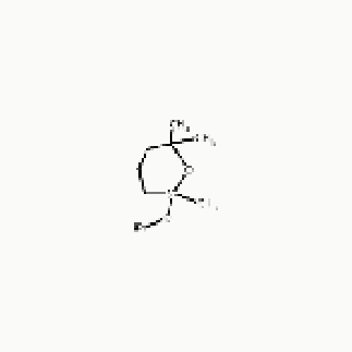 CC(C)O[Si]1(C)CCCC(C)(C)O1